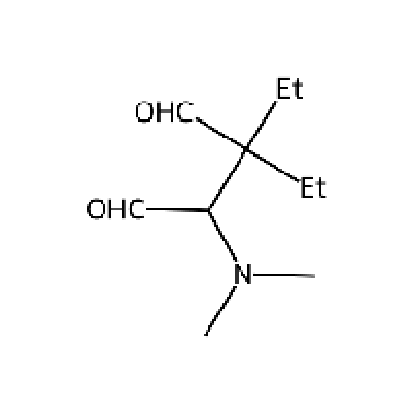 CCC(C=O)(CC)C(C=O)N(C)C